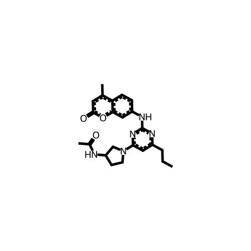 CCCc1cc(N2CCC(NC(C)=O)C2)nc(Nc2ccc3c(C)cc(=O)oc3c2)n1